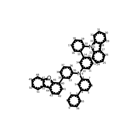 c1ccc(-c2cccc(N(c3cccc(-c4ccccc4-n4c5ccccc5c5ccccc54)c3)c3cccc(-c4cccc5c4oc4ccccc45)c3)c2)cc1